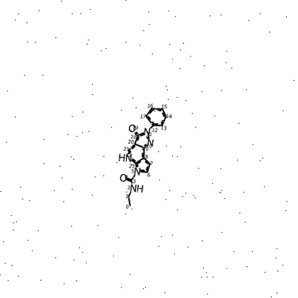 CCNC(=O)n1ccc2c3nn(-c4ccccc4)c(=O)c-3c[nH]c21